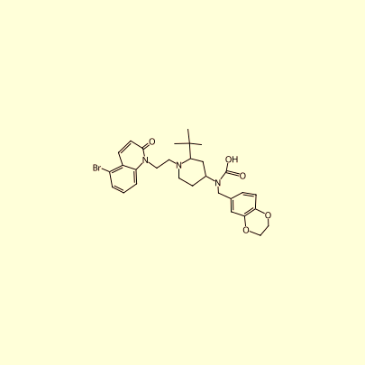 CC(C)(C)C1CC(N(Cc2ccc3c(c2)OCCO3)C(=O)O)CCN1CCn1c(=O)ccc2c(Br)cccc21